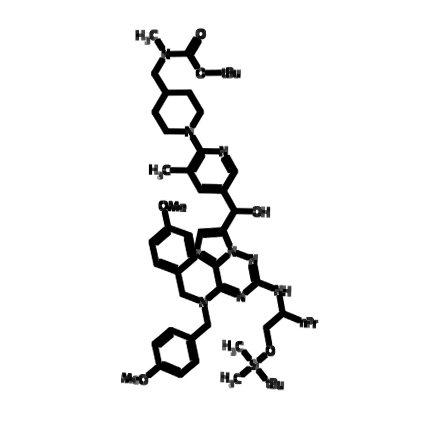 CCCC(CO[Si](C)(C)C(C)(C)C)Nc1nc(N(Cc2ccc(OC)cc2)Cc2ccc(OC)cc2)c2ncc(C(O)c3cnc(N4CCC(CN(C)C(=O)OC(C)(C)C)CC4)c(C)c3)n2n1